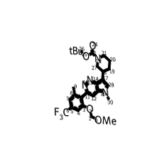 COCOc1cc(C(F)(F)F)cc(C)c1-c1cc2c(nn1)c(C1CCCN(C(=O)OC(C)(C)C)C1)cn2C